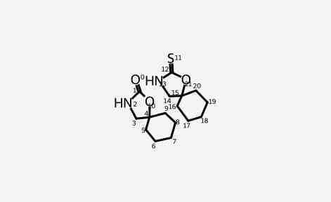 O=C1NCC2(CCCCC2)O1.S=C1NCC2(CCCCC2)O1